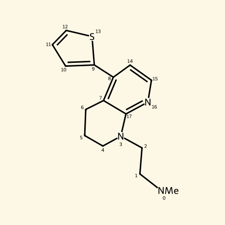 CNCCN1CCCc2c(-c3cccs3)ccnc21